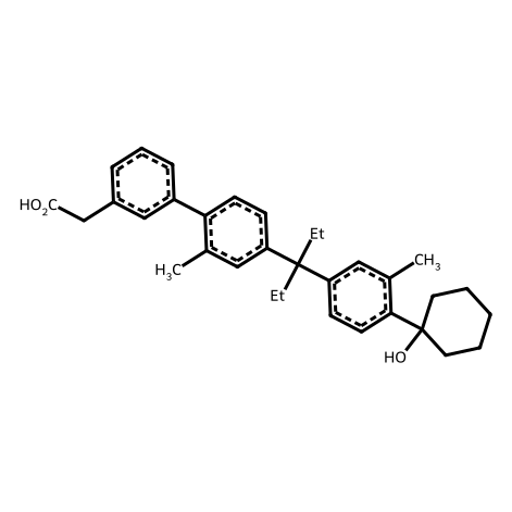 CCC(CC)(c1ccc(-c2cccc(CC(=O)O)c2)c(C)c1)c1ccc(C2(O)CCCCC2)c(C)c1